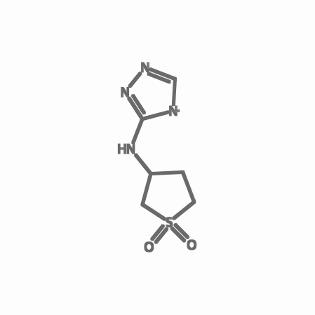 O=S1(=O)CCC(NC2=NN=C[N]2)C1